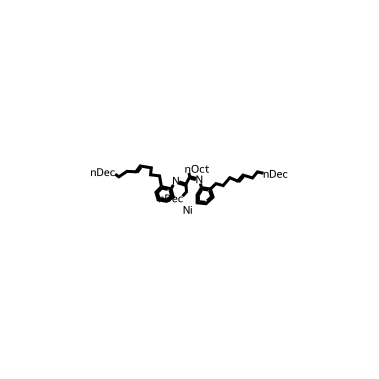 CCCCCCCCCCCC/C=C/CCCc1ccccc1/N=C(CCCCCCCC)\C(CCCCCCCCCCC)=N\c1ccccc1CCC/C=C/CCCCCCCCCCCC.[Ni]